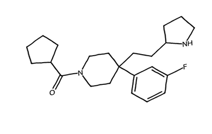 O=C(C1CCCC1)N1CCC(CCC2CCCN2)(c2cccc(F)c2)CC1